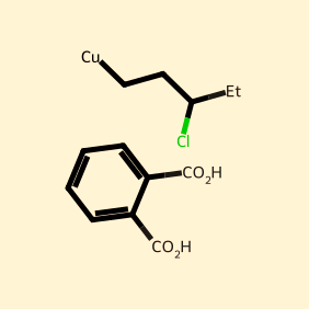 CCC(Cl)C[CH2][Cu].O=C(O)c1ccccc1C(=O)O